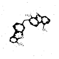 Cc1cccc2c1sc1cc(Cc3ccc4c(sc5cccc(C)c54)c3C)ccc12